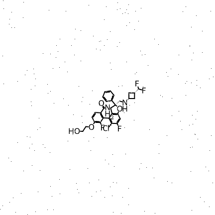 NC(=O)c1ccc(OCCO)c(F)c1-c1c(Cl)c(F)cc2c1C[C@@](CN[C@H]1C[C@@H](C(F)F)C1)(c1ccccc1)O2